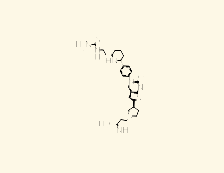 C[C@H](N)CCN1CCC(c2cc3cn(-c4ccc([C@@H]5CCC[C@@H](CCNC(=N)N)N5)cc4)c(=O)nc3[nH]2)C1